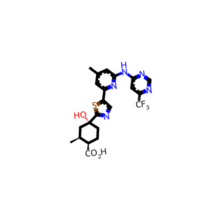 Cc1cc(Nc2cc(C(F)(F)F)ncn2)nc(-c2cnc([C@@]3(O)CC[C@@H](C(=O)O)[C@@H](C)C3)s2)c1